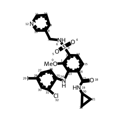 COc1c(S(=O)(=O)NCc2cccnc2)ccc(C(=O)NC2CC2)c1Nc1ccc(I)cc1Cl